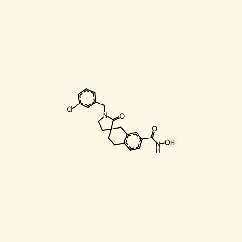 O=C(NO)c1ccc2c(c1)C[C@@]1(CC2)CCN(Cc2cccc(Cl)c2)C1=O